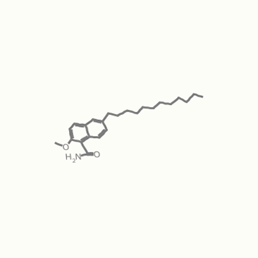 CCCCCCCCCCCCc1ccc2c(C(N)=O)c(OC)ccc2c1